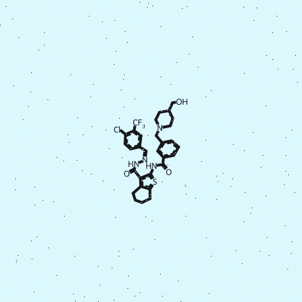 O=C(Nc1sc2c(c1C(=O)N/N=C\c1ccc(Cl)c(C(F)(F)F)c1)CCCC2)c1cccc(CN2CCC(CO)CC2)c1